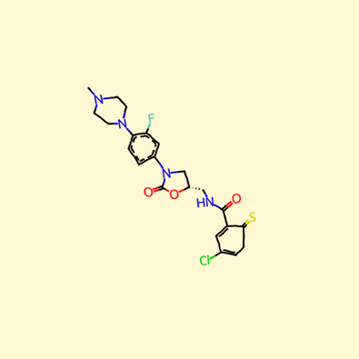 CN1CCN(c2ccc(N3C[C@H](CNC(=O)C4=CC(Cl)=CCC4=S)OC3=O)cc2F)CC1